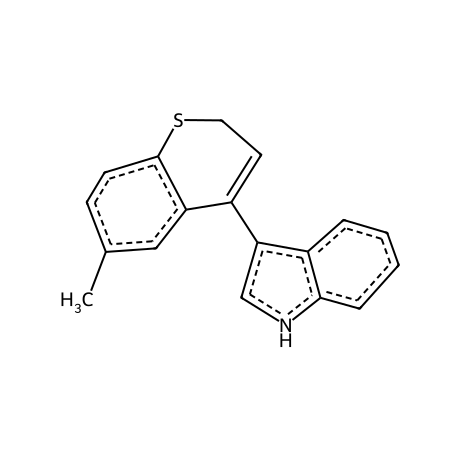 Cc1ccc2c(c1)C(c1c[nH]c3ccccc13)=CCS2